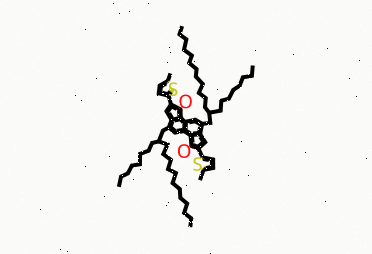 CCCCCCCCCCCCC(CCCCCCCC)Cc1cc2c(cc(CC(CCCCCCCC)CCCCCCCCCCCC)c3cc(-c4ccc(C)s4)c(=O)c32)c2c(=O)c(-c3ccc(C)s3)cc12